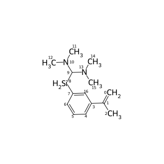 C=C(C)c1cccc([SiH2]C(N(C)C)N(C)C)c1